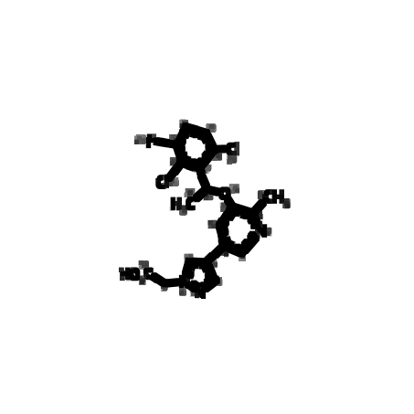 Cc1ncc(-c2cnn(CC(=O)O)c2)cc1OC(C)c1c(Cl)ccc(F)c1Cl